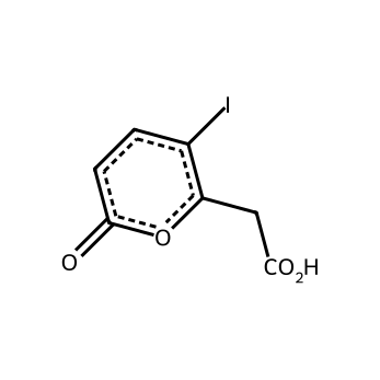 O=C(O)Cc1oc(=O)ccc1I